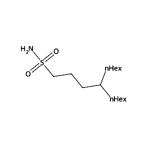 CCCCCCC(CCCCCC)CCCS(N)(=O)=O